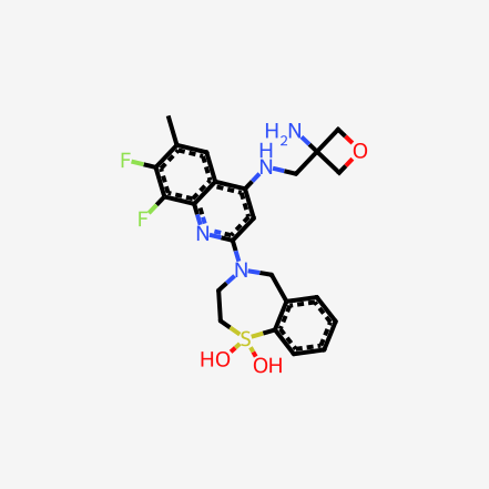 Cc1cc2c(NCC3(N)COC3)cc(N3CCS(O)(O)c4ccccc4C3)nc2c(F)c1F